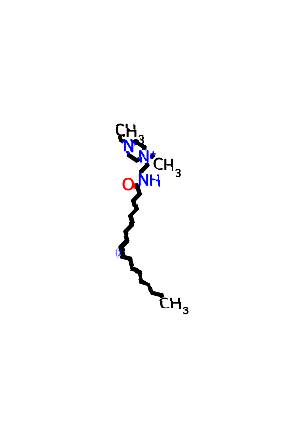 CCCCCCCC/C=C\CCCCCCCC(=O)NCC[N+]1(CC)CCN(CC)CC1